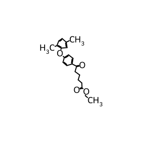 CCOC(=O)CCCCC(=O)c1ccc(Oc2cc(C)ccc2C)cc1